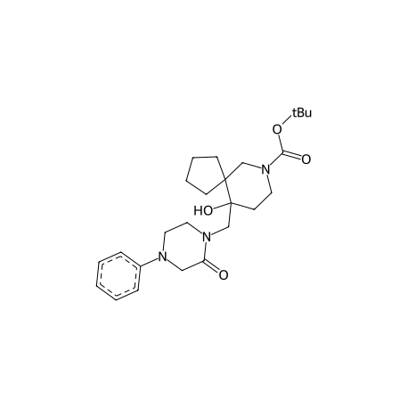 CC(C)(C)OC(=O)N1CCC(O)(CN2CCN(c3ccccc3)CC2=O)C2(CCCC2)C1